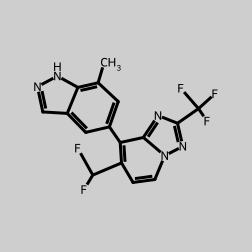 Cc1cc(-c2c(C(F)F)ccn3nc(C(F)(F)F)nc23)cc2cn[nH]c12